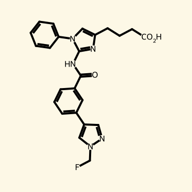 O=C(O)CCCc1cn(-c2ccccc2)c(NC(=O)c2cccc(-c3cnn(CF)c3)c2)n1